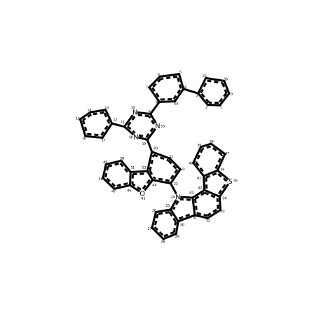 c1ccc(-c2cccc(-c3nc(-c4ccccc4)nc(-c4ccc(-n5c6ccccc6c6ccc7sc8ccccc8c7c65)c5oc6ccccc6c45)n3)c2)cc1